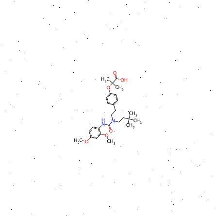 COc1ccc(NC(=O)N(CCc2ccc(OC(C)(C)C(=O)O)cc2)CCC(C)(C)C)c(OC)c1